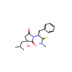 CNC(=S)[C@H](Cc1ccccc1)N1C(=O)C[C@](O)(CC(C)C)C1=O